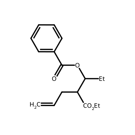 C=CCC(C(=O)OCC)C(CC)OC(=O)c1ccccc1